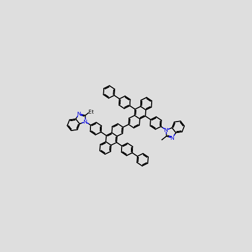 CCc1nc2ccccc2n1-c1ccc(-c2c3ccccc3c(-c3ccc(-c4ccccc4)cc3)c3cc(-c4ccc5c(-c6ccc(-n7c(C)nc8ccccc87)cc6)c6ccccc6c(-c6ccc(-c7ccccc7)cc6)c5c4)ccc23)cc1